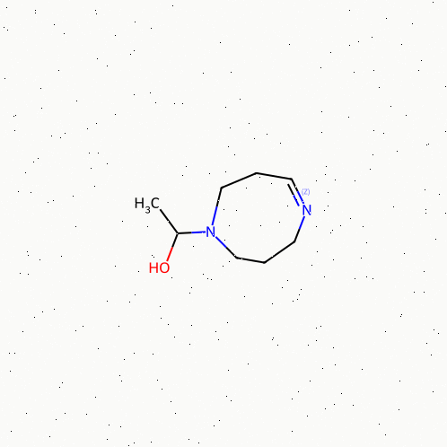 CC(O)N1CC/C=N\CCC1